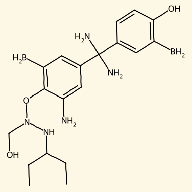 Bc1cc(C(N)(N)c2cc(B)c(ON(CO)NC(CC)CC)c(N)c2)ccc1O